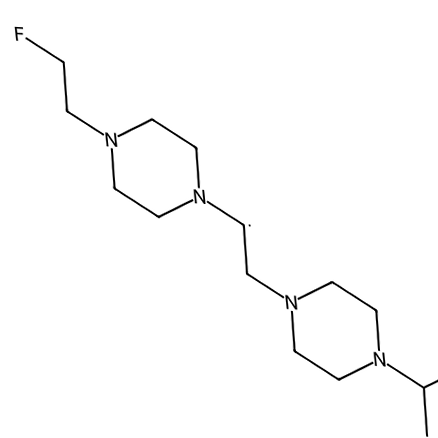 CC(C)N1CCN(C[CH]N2CCN(CCF)CC2)CC1